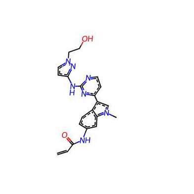 C=CC(=O)Nc1ccc2c(-c3ccnc(Nc4ccn(CCO)n4)n3)cn(C)c2c1